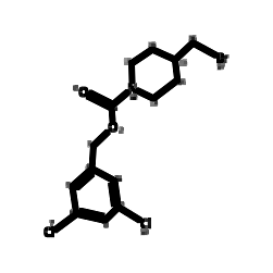 O=C(OCc1cc(Cl)cc(Cl)c1)N1CCC(CBr)CC1